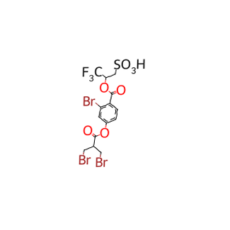 O=C(OC(CS(=O)(=O)O)C(F)(F)F)c1ccc(OC(=O)C(CBr)CBr)cc1Br